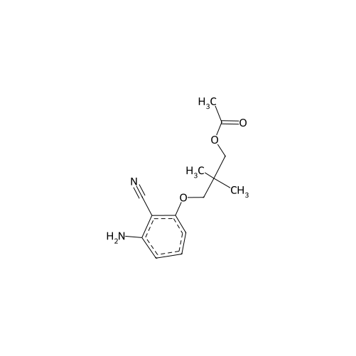 CC(=O)OCC(C)(C)COc1cccc(N)c1C#N